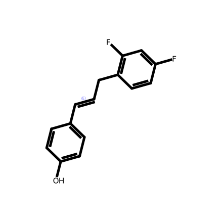 Oc1ccc(/C=C/Cc2ccc(F)cc2F)cc1